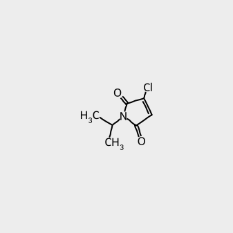 CC(C)N1C(=O)C=C(Cl)C1=O